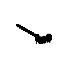 CCCCCC=CCC=CCCCCCCCCOC(=O)C[C@H](NC(=O)[C@]1(C(C)C)CC(c2nccc3ccccc23)=NO1)C(=O)CF